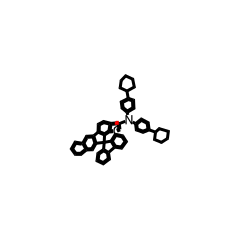 c1ccc2c(c1)-c1ccccc1C21c2cc3ccccc3cc2-c2ccc3cc(N(c4ccc(C5CCCCC5)cc4)c4ccc(C5CCCCC5)cc4)ccc3c21